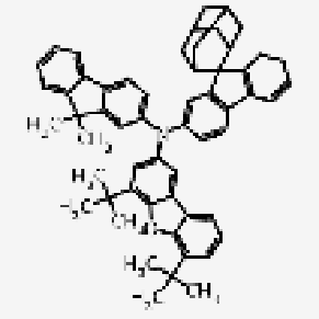 CC(C)(C)c1cccc2c1oc1c(C(C)(C)C)cc(N(c3ccc4c(c3)C(C)(C)c3ccccc3-4)c3ccc4c(c3)C3(C5=C4C=CCC5)C4CC5CC(C4)CC3C5)cc12